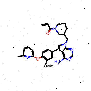 C=CC(=O)N1CCCC(Cn2cc(-c3ccc(Oc4cccc(C)n4)c(OC)c3)c3c(N)ncnc32)C1